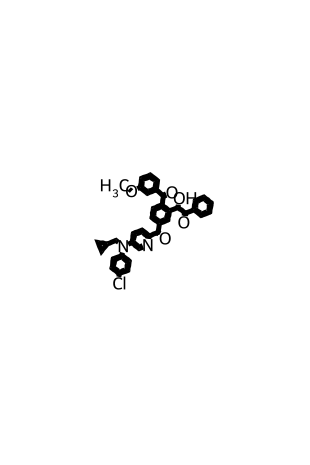 COc1cccc(C(=O)c2ccc(C(=O)c3ccc(N(CC4CC4)c4ccc(Cl)cc4)cn3)cc2C(O)C(=O)c2ccccc2)c1